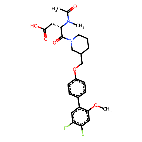 COc1cc(F)c(F)cc1-c1ccc(OCC2CCCN(C(=O)[C@H](CC(=O)O)N(C)C(C)=O)C2)cc1